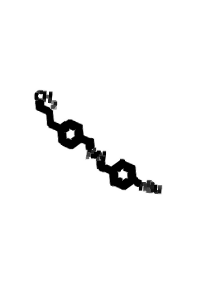 C=CCCc1ccc(C=NN=Cc2ccc(CCCC)cc2)cc1